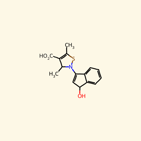 CC1=C(C(=O)O)C(C)N(C2=CC(O)c3ccccc32)S1